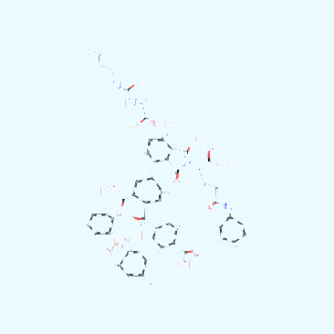 CCCCNC(=O)NCC(=O)O.O=C(CCC(C(=O)O)N1C(=O)c2ccccc2C1=O)Nc1ccccc1.O=C(O)c1ccc(C(=O)c2ccccc2C(=O)O)cc1.O=P(O)(c1ccccc1)c1ccc(I)cc1